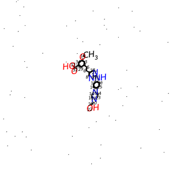 COc1cc(C=Cc2cnc(Nc3ccc(N4CCN(CCO)CC4)cc3)nc2)cc(C(=O)O)c1